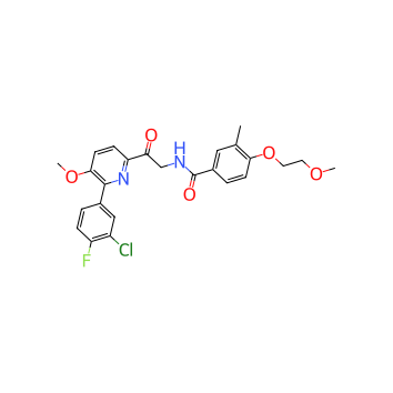 COCCOc1ccc(C(=O)NCC(=O)c2ccc(OC)c(-c3ccc(F)c(Cl)c3)n2)cc1C